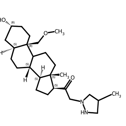 COC[C@]12CC[C@@H](O)C[C@@H]1CC[C@@H]1C2CC[C@]2(C)[C@@H](C(=O)CN3CC(C)CN3)CC[C@@H]12